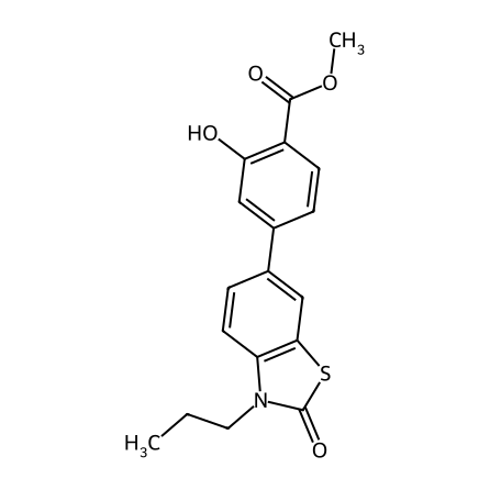 CCCn1c(=O)sc2cc(-c3ccc(C(=O)OC)c(O)c3)ccc21